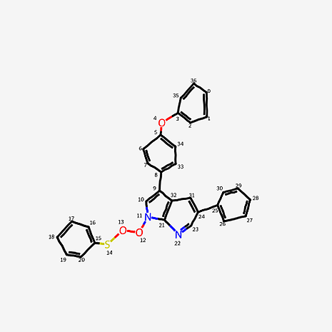 c1ccc(Oc2ccc(-c3cn(OOSc4ccccc4)c4ncc(-c5ccccc5)cc34)cc2)cc1